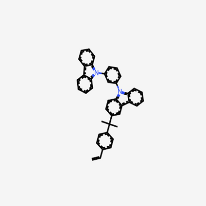 C=Cc1ccc(C(C)(C)c2ccc3c(c2)c2ccccc2n3-c2cccc(-n3c4ccccc4c4ccccc43)c2)cc1